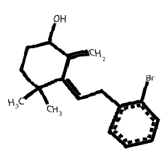 C=C1/C(=C\Cc2ccccc2Br)C(C)(C)CCC1O